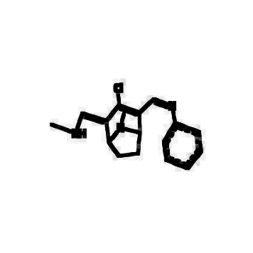 CN/C=C1C(Cl)=C(/C=N\c2ccccc2)C2CCC/1N2C